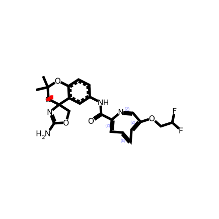 CC1(C)Oc2ccc(NC(=O)C3=C/C=C/C=C(OCC(F)F)/C=N\3)cc2C2(COC(N)=N2)C12COC2